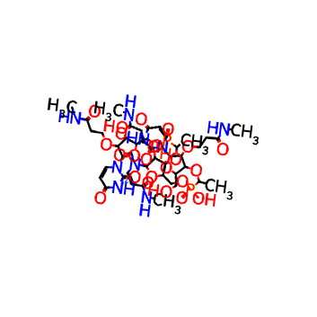 CNC(=O)/C=C\N(C=O)C1OC(COP(=O)(O)C(C)OC2C(CO)OC(n3ccc(=O)[nH]c3=O)C2OCCC(=O)NC)C(OC(C)[PH](=O)OCC2OC(n3ccc(=O)[nH]c3=O)C(OCCC(=O)NC)C2O)C1OCCC(=O)NC